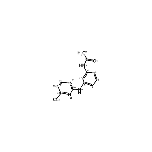 CC(=O)Nc1cccc(Nc2ncnc(Cl)n2)c1